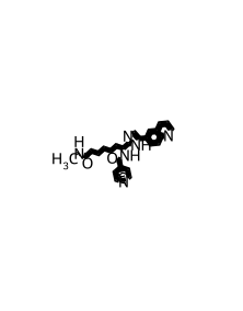 CNC(=O)CCCCCC(NC(=O)C12CCN(CC1)CC2)c1ncc(-c2ccc3ncccc3c2)[nH]1